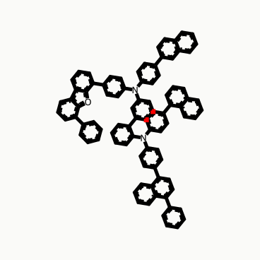 c1ccc(-c2ccc(-c3ccc(N(c4ccc(-c5cccc6ccccc56)cc4)c4ccccc4-c4cccc(N(c5ccc(-c6ccc7ccccc7c6)cc5)c5ccc(-c6cccc7c6oc6c(-c8ccccc8)cccc67)cc5)c4)cc3)c3ccccc23)cc1